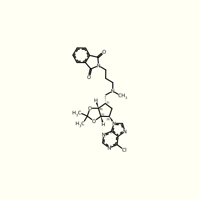 CN(CCCN1C(=O)c2ccccc2C1=O)C[C@@H]1C[C@@H](n2cnc3c(Cl)ncnc32)[C@@H]2OC(C)(C)O[C@H]12